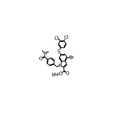 COC(=O)c1cc2c(Br)cc(Sc3ccc(Cl)c(Cl)c3)cc2n1Cc1ccc(C(=O)N(C)C)cc1